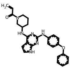 C=CC(=O)N1CCCC(Nc2nc(Nc3ccc(Oc4ccccc4)cc3)nc3[nH]ccc23)C1